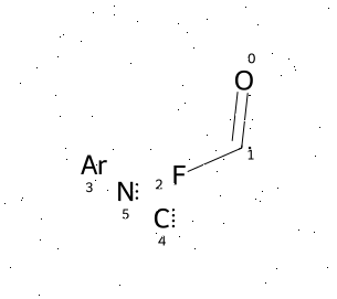 O=[C]F.[Ar].[C].[N]